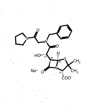 CC1(C)S[C@@H]2[C@H]([C@H](O)C(=O)N(CC(=O)N3CCCC3)Cc3ccccc3)C(=O)N2[C@H]1C(=O)[O-].[Na+]